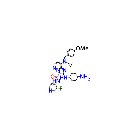 COc1ccc(CN(c2ccnn3c(C(=O)Nc4ccncc4F)c(N[C@H]4CC[C@H](N)CC4)nc23)C2CC2)cc1